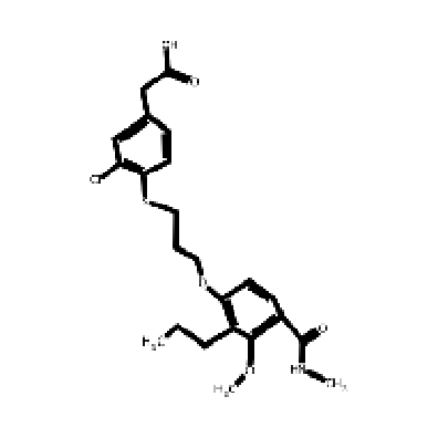 CCCc1c(OCCCSc2ccc(CC(=O)O)cc2Cl)ccc(C(=O)NC)c1OC